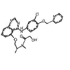 CC(COc1cccc2ncnc(Nc3ccc(OCc4ccccn4)c(Cl)c3)c12)N(C)C(=O)CO